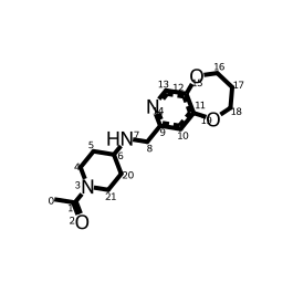 CC(=O)N1CCC(NCc2cc3c(cn2)OCCCO3)CC1